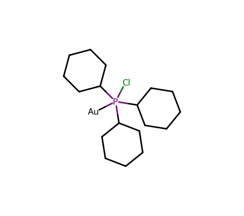 Cl[P]([Au])(C1CCCCC1)(C1CCCCC1)C1CCCCC1